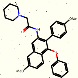 COc1ccc(-c2c(NC(=O)CN3CCCCC3)cc3cc(OC)ccc3c2Oc2ccccc2)cc1